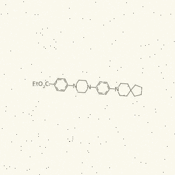 CCOC(=O)c1ccc(N2CCN(c3ccc(N4CCC5(CCCC5)CC4)cc3)CC2)cc1